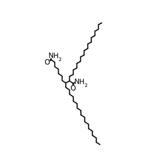 CCCCCCCCCCCCCCCCCCC(CCCCCCC(N)=O)C(CCCCCCCCCCCCCCCCCC)C(N)=O